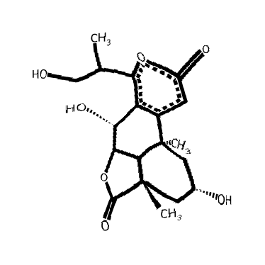 CC(CO)c1oc(=O)cc2c1[C@@H](O)C1OC(=O)[C@@]3(C)C[C@@H](O)C[C@@]2(C)C13